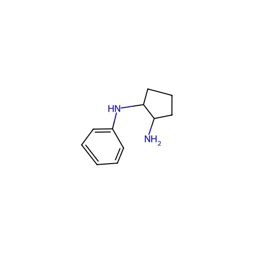 NC1CCCC1Nc1ccccc1